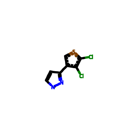 Clc1scc(C2=N[N]C=C2)c1Cl